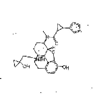 CN(C(=O)C1CC1c1ccsc1)[C@@H]1CC[C@@]2(O)C3Cc4ccc(O)c5c4[C@@]2(CCN3CC2(O)CC2)[C@H]1O5